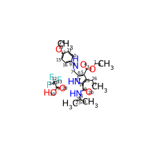 CCOC(=O)c1c(CNc2ccc(OC)cc2)[nH]c(C(=O)NC(C)C)c1CC.O=C(O)C(F)(F)F